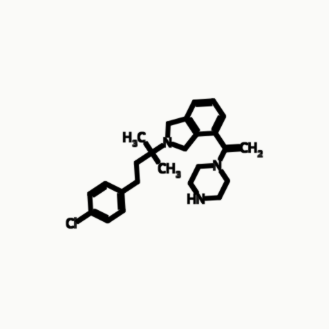 C=C(c1cccc2c1CN(C(C)(C)CCc1ccc(Cl)cc1)C2)N1CCNCC1